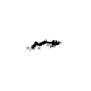 Cn1c(=O)n(C2CCC(=O)NC2=O)c2cccc(NCCCCCCC(=O)N3CCN(c4ccc(Nc5nc6cccc(-c7ccc(S(C)(=O)=O)cc7)n6n5)cc4)CC3)c21